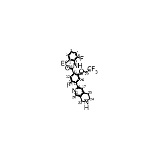 CCc1cccc(F)c1NC(=O)c1cc(F)c(-c2cc3c(cn2)CNCC3)cc1OCC(F)(F)F